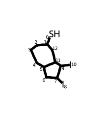 SC1CCCC2CC(I)C(I)C2C1